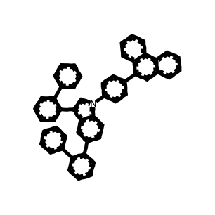 c1ccc(-c2ccccc2-c2ccc3c(c2)c(-c2ccccc2-c2ccccc2)cn3-c2ccc(-c3cc4ccccc4c4ccccc34)cc2)cc1